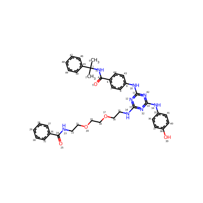 CC(C)(NC(=O)c1ccc(Nc2nc(NCCOCCOCCNC(=O)c3ccccc3)nc(Nc3ccc(O)cc3)n2)cc1)c1ccccc1